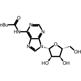 CCCCC(=O)Nc1ncnc2c1ncn2[C@@H]1O[C@H](CO)[C@@H](O)[C@H]1O